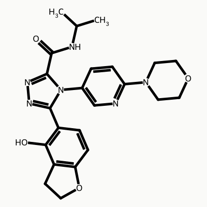 CC(C)NC(=O)c1nnc(-c2ccc3c(c2O)CCO3)n1-c1ccc(N2CCOCC2)nc1